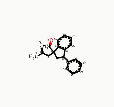 C=C(C)CC1(C=O)CC(c2ccccc2)c2ccccc21